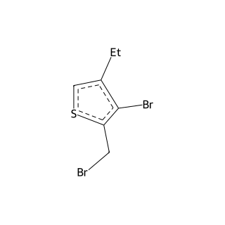 CCc1csc(CBr)c1Br